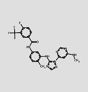 CNc1cc(-n2ncnc2Nc2cc(NC(=O)c3ccc(F)c(C(F)(F)F)c3)ccc2C)ncn1